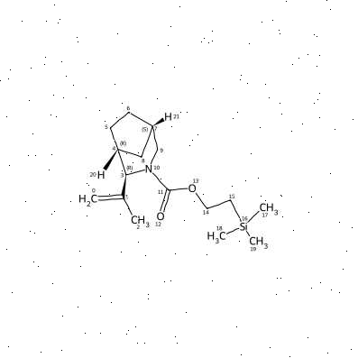 C=C(C)[C@H]1[C@@H]2CC[C@@H](C2)CN1C(=O)OCC[Si](C)(C)C